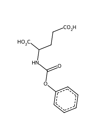 O=C(O)CCC(NC(=O)Oc1ccccc1)C(=O)O